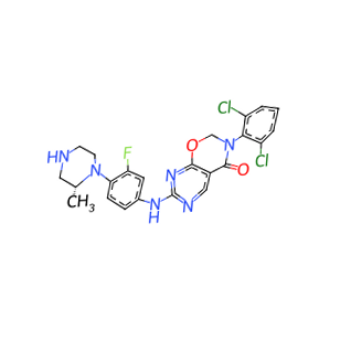 C[C@@H]1CNCCN1c1ccc(Nc2ncc3c(n2)OCN(c2c(Cl)cccc2Cl)C3=O)cc1F